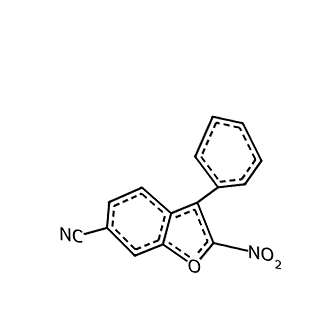 N#Cc1ccc2c(-c3ccccc3)c([N+](=O)[O-])oc2c1